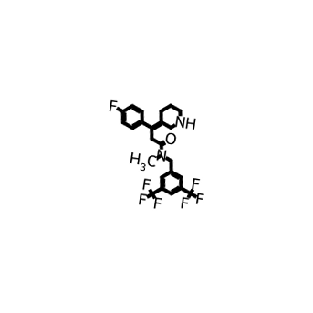 CN(Cc1cc(C(F)(F)F)cc(C(F)(F)F)c1)C(=O)CC(=C1CCCNC1)c1ccc(F)cc1